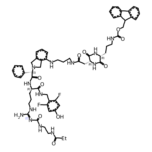 CCC(=O)NCCNC(=O)/N=C(/N)NCCC[C@@H](NC(=O)[C@H](c1ccccc1)N1Cc2cccc(NCCCNC(=O)C[C@H]3NC(=O)[C@@H](CCCNC(=O)OCC4c5ccccc5-c5ccccc54)NC3=O)c2C1)C(=O)NCc1c(F)cc(O)cc1F